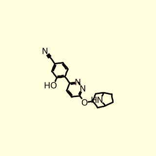 N#Cc1ccc(-c2ccc(OC3CC4CCC(C3)N4)nn2)c(O)c1